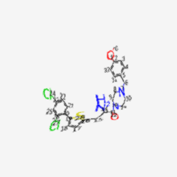 COc1ccc(CN2CCN(C(=O)C(N)Cc3ccc(-c4ccc(Cl)cc4Cl)s3)CC2)cc1